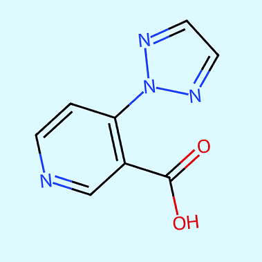 O=C(O)c1cnccc1-n1nccn1